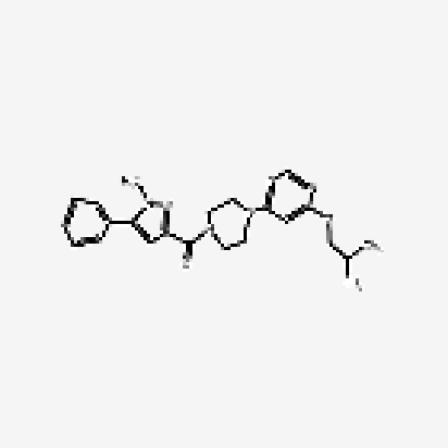 CC(C)COc1cc(N2CCN(C(=O)c3cc(-c4ccccc4)n(C)n3)CC2)ncn1